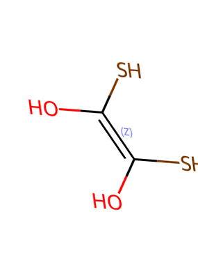 O/C(S)=C(\O)S